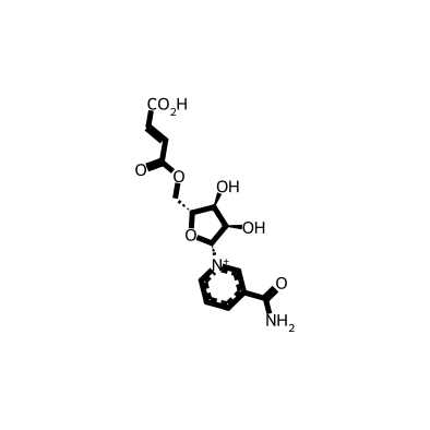 NC(=O)c1ccc[n+]([C@@H]2O[C@H](COC(=O)/C=C/C(=O)O)[C@@H](O)[C@H]2O)c1